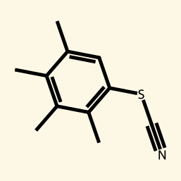 Cc1cc(SC#N)c(C)c(C)c1C